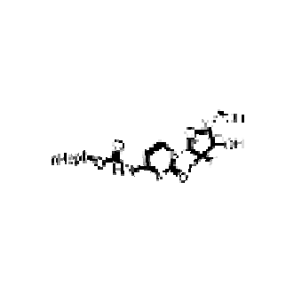 CCCCCCCOC(=O)Nc1ccn([C@@H]2O[C@H](CO)[C@@H](O)C2(F)F)c(=O)n1